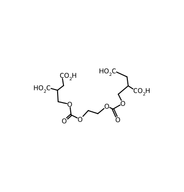 O=C(O)CC(COC(=O)OCCOC(=O)OCC(CC(=O)O)C(=O)O)C(=O)O